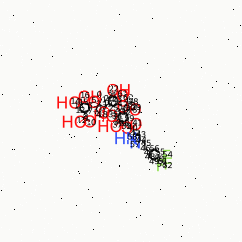 CCC(CC)(Oc1cc(C(=O)O)cc(O)c1O)C(=O)c1cc(O)c2c(c1)OC(CC)(C(=O)c1cc(O)c(O)c(OC(=O)c3cc(CCc4ccc(C(F)(F)F)cc4)n[nH]3)c1)CO2